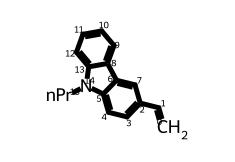 C=Cc1ccc2c(c1)c1ccccc1n2CCC